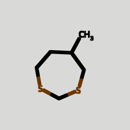 CC1CCSCSC1